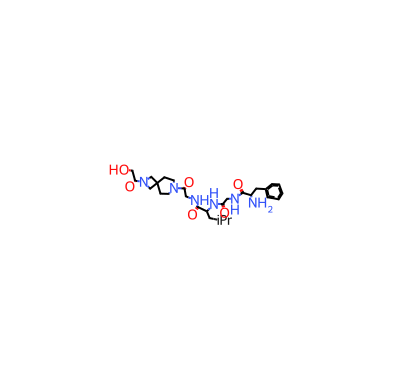 CC(C)CC(NC(=O)CNC(=O)C(N)Cc1ccccc1)C(=O)NCC(=O)N1CCC2(CC1)CN(C(=O)CO)C2